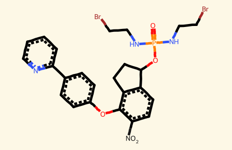 O=[N+]([O-])c1ccc2c(c1Oc1ccc(-c3ccccn3)cc1)CCC2OP(=O)(NCCBr)NCCBr